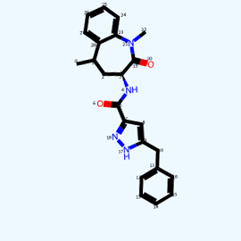 CC1C[C@H](NC(=O)c2cc(Cc3ccccc3)[nH]n2)C(=O)N(C)c2ccccc21